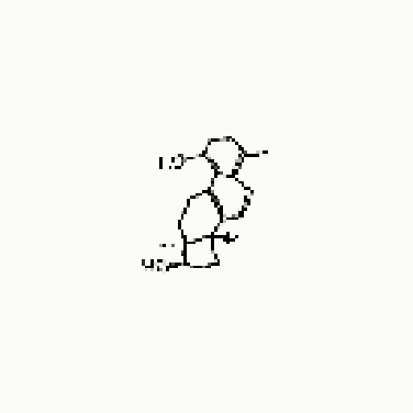 Cc1ccc(O)c2c3c(ccc12)[C@@H]1CC[C@@H](O)[C@@]1(C)CC3